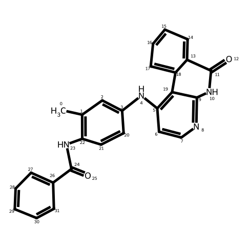 Cc1cc(Nc2ccnc3[nH]c(=O)c4ccccc4c23)ccc1NC(=O)c1ccccc1